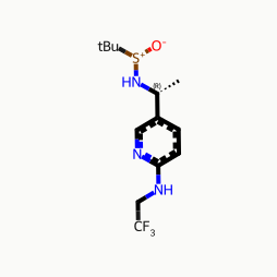 C[C@@H](N[S+]([O-])C(C)(C)C)c1ccc(NCC(F)(F)F)nc1